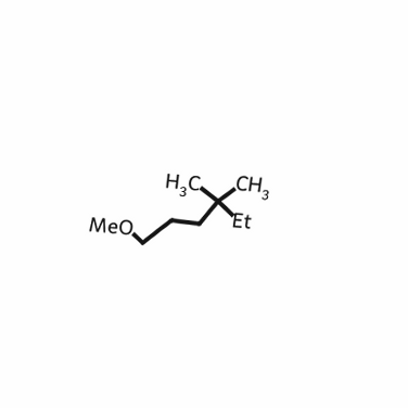 CCC(C)(C)CCCOC